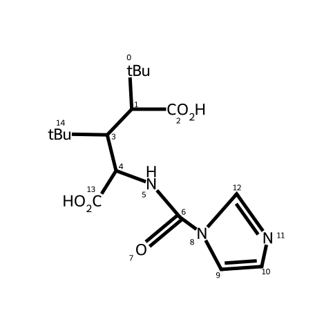 CC(C)(C)C(C(=O)O)C(C(NC(=O)n1ccnc1)C(=O)O)C(C)(C)C